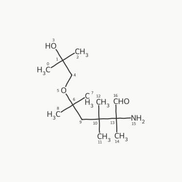 CC(C)(O)COC(C)(C)CC(C)(C)C(C)(N)C=O